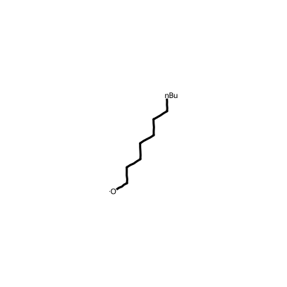 CCCCCCCCCCC[O]